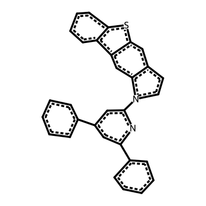 c1ccc(-c2cc(-c3ccccc3)nc(-n3ccc4cc5sc6ccccc6c5cc43)c2)cc1